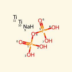 O=P(O)(O)OP(=O)(O)O.[NaH].[Ti].[Ti]